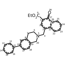 CCOC(=O)c1cc(CN2CCc3cc(-c4ccccc4)ccc3C2)c2ccccn2c1=O